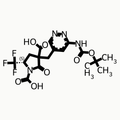 CC(C)(C)OC(=O)Nc1cc(CC2(C(=O)O)C[C@@H](C(F)(F)F)N(C(=O)O)C2=O)cnn1